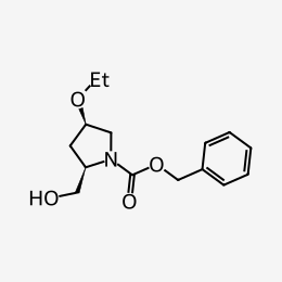 CCO[C@@H]1C[C@H](CO)N(C(=O)OCc2ccccc2)C1